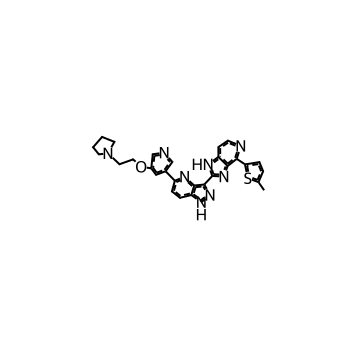 Cc1ccc(-c2nccc3[nH]c(-c4n[nH]c5ccc(-c6cncc(OCCN7CCCC7)c6)nc45)nc23)s1